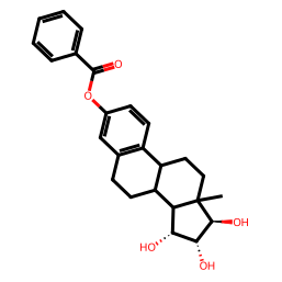 CC12CCC3c4ccc(OC(=O)c5ccccc5)cc4CCC3C1[C@@H](O)[C@@H](O)[C@@H]2O